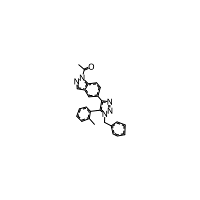 CC(=O)n1ncc2cc(-c3nnn(Cc4ccccc4)c3-c3ccccc3C)ccc21